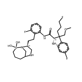 COCC(CCCF)(c1ccc(F)cc1)[C@H](N)C(=O)Nc1cccc(F)c1CC[C@H]1CNC2CCCS(O)(O)N1C2